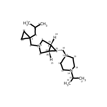 CC(C)CC1(CN2C[C@@H]3[C@H](CN4CCN(C(C)C)CC4)[C@@H]3C2)CC1